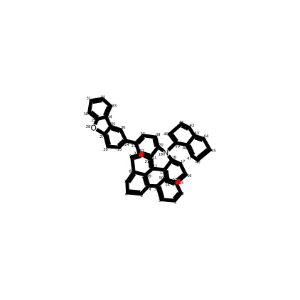 c1ccc(-c2cccc3cccc(-c4ccccc4N(c4ccc(-c5ccc6oc7ccccc7c6c5)cc4)c4cccc5ccccc45)c23)cc1